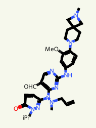 C=CCN(C)N(c1ccc(=O)n(C(C)C)n1)c1nc(Nc2ccc(N3CCC4(CC3)CN(C)C4)c(OC)c2)ncc1C=O